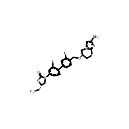 NC[C@H]1CN(c2ccc(-c3ccc(CO[C@@H]4COc5nc(N)cn5C4)c(F)c3)c(F)c2)C(=O)O1